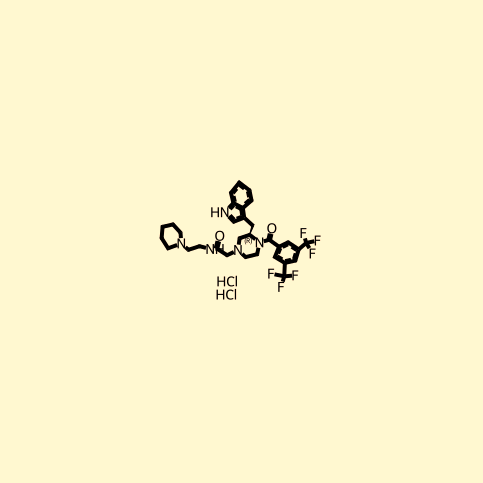 Cl.Cl.O=C(CN1CCN(C(=O)c2cc(C(F)(F)F)cc(C(F)(F)F)c2)[C@H](Cc2c[nH]c3ccccc23)C1)NCCN1CCCCC1